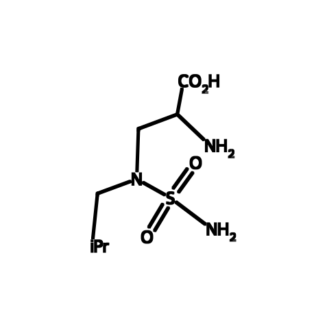 CC(C)CN(CC(N)C(=O)O)S(N)(=O)=O